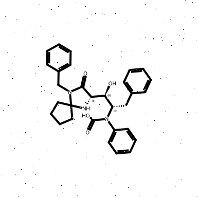 O=C(O)N(c1ccccc1)[C@@H](Cc1ccccc1)[C@H](O)[C@@H]1NC2(CCCC2)N(Cc2ccccc2)C1=O